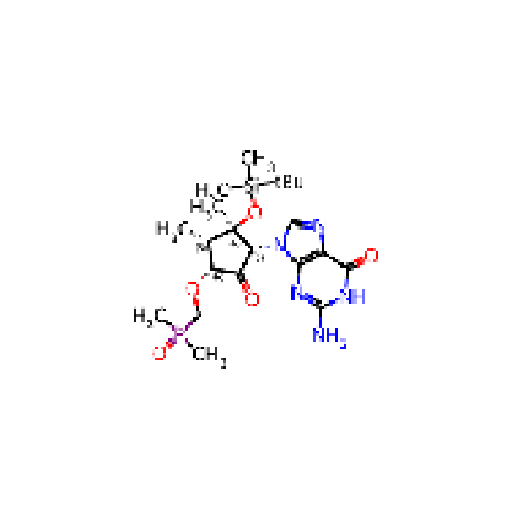 C[C@H]1[C@@H](OCP(C)(C)=O)C(=O)[C@@H](n2cnc3c(=O)[nH]c(N)nc32)[C@]1(C)O[Si](C)(C)C(C)(C)C